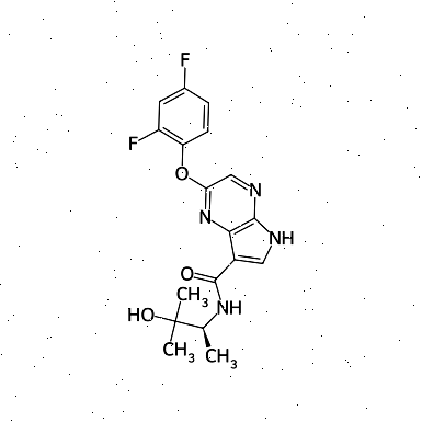 C[C@H](NC(=O)c1c[nH]c2ncc(Oc3ccc(F)cc3F)nc12)C(C)(C)O